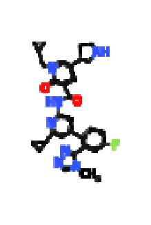 Cn1cnnc1-c1cc(F)ccc1-c1cc(NC(=O)c2cc(C3CCNC3)cn(CC3CC3)c2=O)nc(C2CC2)c1